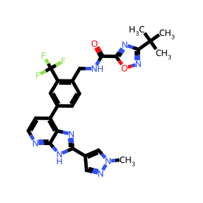 Cn1cc(-c2nc3c(-c4ccc(CNC(=O)c5nc(C(C)(C)C)no5)c(C(F)(F)F)c4)ccnc3[nH]2)cn1